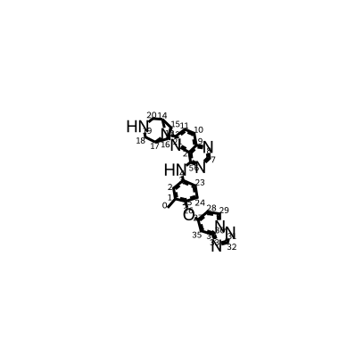 Cc1cc(Nc2ncnc3ccc(N4C5CCC4CNC5)nc23)ccc1Oc1ccn2ncnc2c1